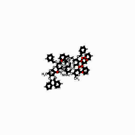 CC(=O)NC1[C@H](OC2[C@H](C)OC(C)[C@H](OCc3ccccc3)[C@@H]2O[C@H]2O[C@@H](COCc3ccccc3)[C@@H](OCc3ccccc3)C(OCc3ccccc3)C2OCc2ccccc2)OC2COC(C)(C)O[C@H]2[C@@H]1O[C@@H]1OC(C)[C@H](OCc2ccccc2)[C@H](O[C@@H]2OC(C)[C@H](OCc3ccccc3)[C@H](OCc3ccccc3)C2C)C1OC(C)=O